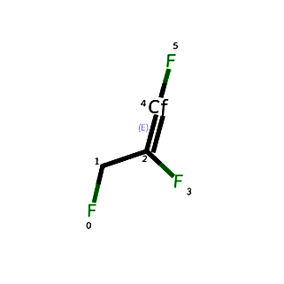 FC/[C](F)=[Cf]\[F]